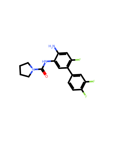 Nc1cc(F)c(-c2ccc(F)c(F)c2)cc1NC(=O)N1CCCC1